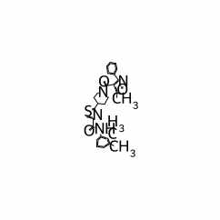 Cc1cccc(NC(=O)c2csc(C3CCN(C(=O)c4c(-c5ccccc5)noc4C)CC3)n2)c1C